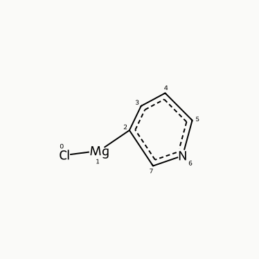 [Cl][Mg][c]1cccnc1